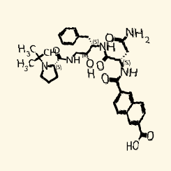 CC(C)(C)N1CCC[C@H]1C(=O)NC[C@@H](O)[C@H](Cc1ccccc1)NC(=O)[C@H](CC(N)=O)NC(=O)c1ccc2cc(C(=O)O)ccc2c1